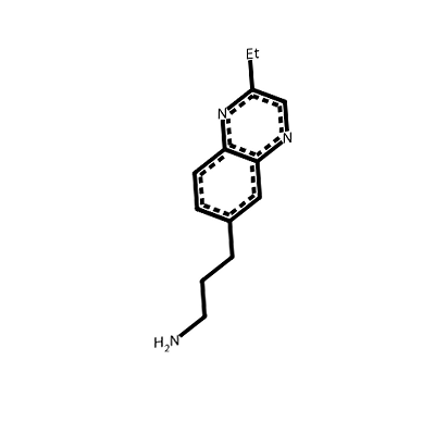 CCc1cnc2cc(CCCN)ccc2n1